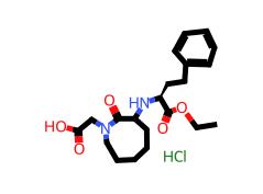 CCOC(=O)[C@H](CCc1ccccc1)NC1CCCCCN(CC(=O)O)C1=O.Cl